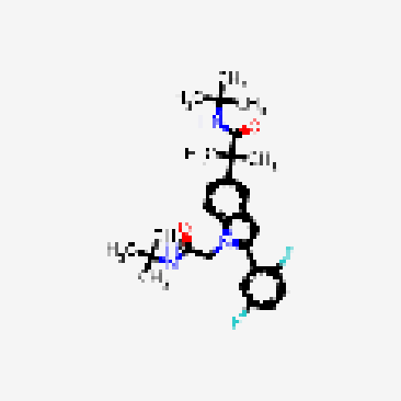 CC(C)(C)NC(=O)Cn1c(-c2cc(F)ccc2F)cc2cc(C(C)(C)C(=O)NC(C)(C)C)ccc21